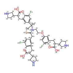 [2H]C([2H])(c1cc(F)cc(CC(C(=O)O)C2CCNC2)c1)N(CCOc1cc(F)cc(CC(C(=O)O)C2CCNC2)c1)C(=S)Cc1cc(F)cc(CC(C(=O)O)C2CCNC2)c1